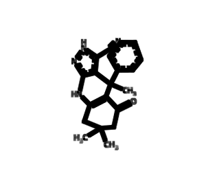 CC1(C)CC(=O)C2=C(C1)Nc1n[nH]c(C#N)c1C2(C)c1ccccc1